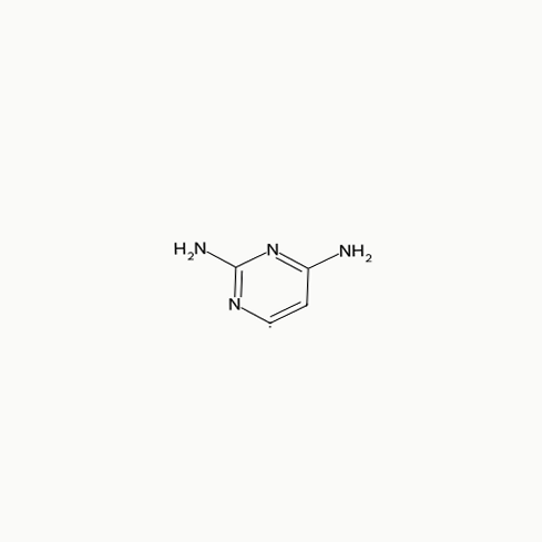 Nc1c[c]nc(N)n1